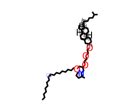 CCCCCCCC/C=C\CCCCCCCCOCC(CN1CCCC1C)OCCOCCO[C@H]1CC[C@@]2(C)C(=CC[C@H]3[C@@H]4CC[C@H]([C@H](C)CCCC(C)C)[C@@]4(C)CC[C@@H]32)C1